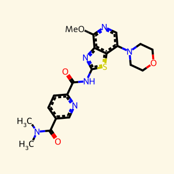 COc1ncc(N2CCOCC2)c2sc(NC(=O)c3ccc(C(=O)N(C)C)cn3)nc12